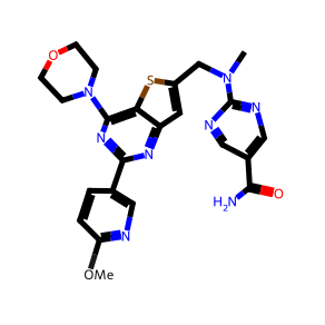 COc1ccc(-c2nc(N3CCOCC3)c3sc(CN(C)c4ncc(C(N)=O)cn4)cc3n2)cn1